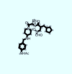 CC(=O)Nc1ccc(CNC2CCN(C(=O)[C@@H](NC(=O)C(CC3CCCC3)CN(O)C=O)C(C)(C)C)CC2)cc1